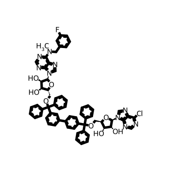 CN(Cc1cccc(F)c1)c1ncnc2c1ncn2[C@@H]1O[C@H](COC(c2ccccc2)(c2ccccc2)c2cccc(-c3ccc(C(OC[C@H]4O[C@@H](n5cnc6c(Cl)ncnc65)[C@H](O)[C@@H]4O)(c4ccccc4)c4ccccc4)cc3)c2)[C@@H](O)[C@H]1O